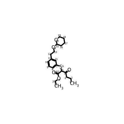 CCCC(=O)C(Sc1cccc(CCOC2CCCCO2)c1)C(=O)OCC